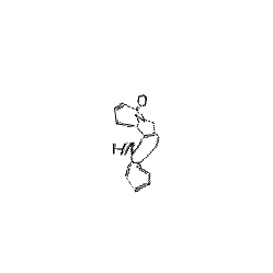 O=c1cccc2n1CC1=C2Nc2ccccc2C1